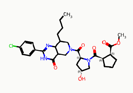 CCCCC1CN(C(=O)[C@@H]2C[C@@H](O)CN2C(=O)[C@@H]2CCC[C@@H]2C(=O)OC)CC2C(=O)NC(c3ccc(Cl)cc3)=NC12